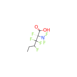 CCC(F)C(F)(F)[C@@](F)(C(=O)O)N(F)F